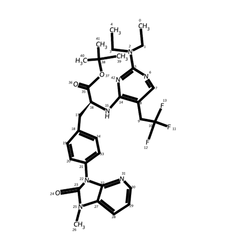 CCN(CC)c1ncc(CC(F)(F)F)c(N[C@@H](Cc2ccc(-n3c(=O)n(C)c4cccnc43)cc2)C(=O)OC(C)(C)C)n1